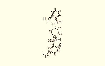 Cc1ncccc1NC[C@H]1CC[C@H](NC(=O)c2cc(C(F)(F)F)ccc2Cl)CC1